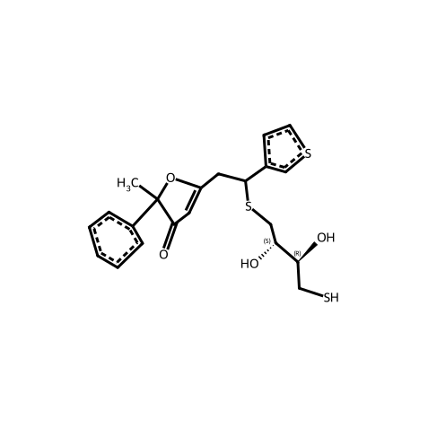 CC1(c2ccccc2)OC(CC(SC[C@@H](O)[C@@H](O)CS)c2ccsc2)=CC1=O